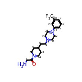 NCC(=O)N1CCC(CCN2CCN(c3cccc(C(F)(F)F)c3)CC2)CC1